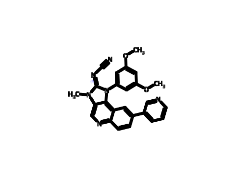 COc1cc(OC)cc(-n2/c(=N\C#N)n(C)c3cnc4ccc(-c5cccnc5)cc4c32)c1